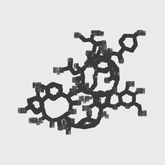 CN[C@H](CC(C)C)C(=O)N[C@H]1C(=O)N[C@@H](CC(N)=O)C(=O)NC2C(=O)N[C@H]3C(=O)N[C@H](C(=O)N[C@@H](C(=O)O)c4cc(O)cc(O)c4-c4cc3ccc4O)[C@H](O)c3ccc(c(Cl)c3)Oc3cc2cc(c3OC2O[C@H](CO)[C@@H](O)[C@H](O)[C@H]2O[C@H]2C[C@](C)(NCCn3ccc(NC(=O)C4CCC(C(C)(C)C)CC4)nc3=O)[C@H](O)[C@H](C)O2)Oc2ccc(cc2Cl)[C@H]1O